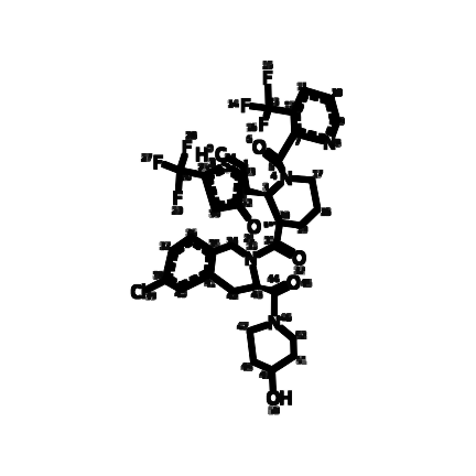 CCC[C@H]1N(C(=O)c2ncccc2C(F)(F)F)CCC[C@@]1(Oc1csc(C(F)(F)F)c1)C(=O)N1Cc2ccc(Cl)cc2C[C@@H]1C(=O)N1CCC(O)CC1